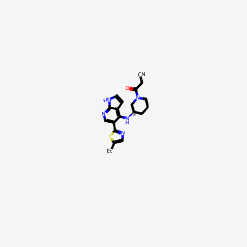 CCc1cnc(-c2cnc3[nH]ccc3c2N[C@@H]2CCCN(C(=O)CC#N)C2)s1